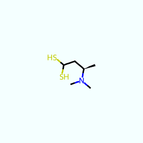 C[C@H](CC(S)S)N(C)C